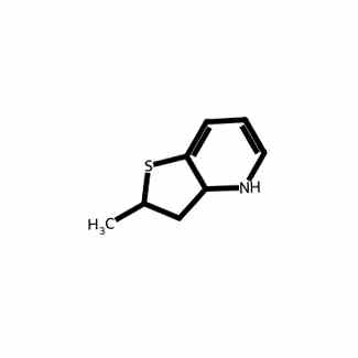 CC1CC2NC=CC=C2S1